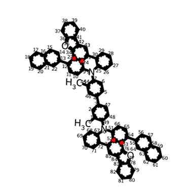 Cc1cc(-c2ccc(N(c3ccc(-c4ccc5ccccc5c4)cc3)c3ccccc3-c3ccc4oc5ccccc5c4c3)c(C)c2)ccc1N(c1ccc(-c2ccc3ccccc3c2)cc1)c1ccccc1-c1ccc2oc3ccccc3c2c1